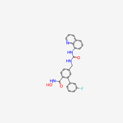 O=C(NCc1ccc(C(=O)NO)c(-c2cccc(F)c2)c1)Nc1cccc2cccnc12